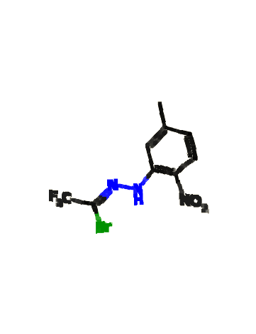 Cc1ccc([N+](=O)[O-])c(NN=C(Br)C(F)(F)F)c1